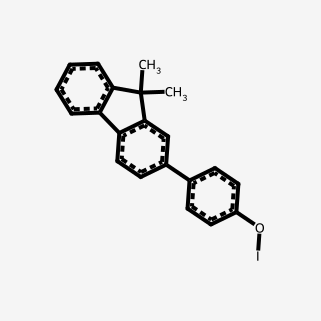 CC1(C)c2ccccc2-c2ccc(-c3ccc(OI)cc3)cc21